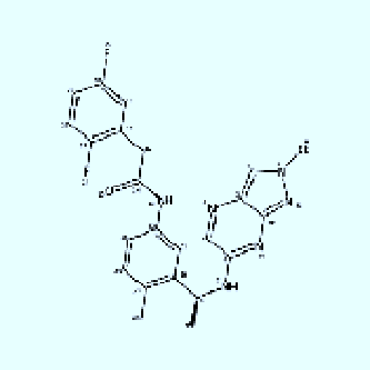 CCn1cc2ncc(N[C@@H](C)c3cc(NC(=O)Cc4cc(F)ccc4F)ccc3C)nc2n1